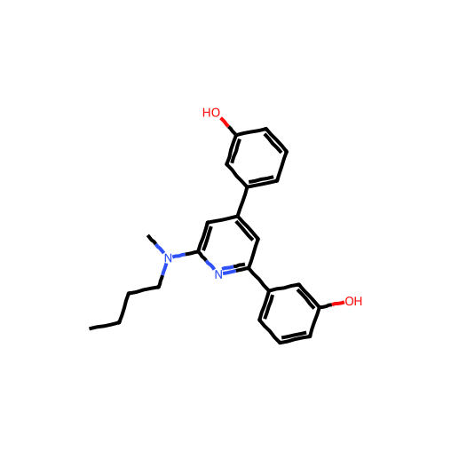 CCCCN(C)c1cc(-c2cccc(O)c2)cc(-c2cccc(O)c2)n1